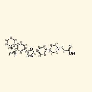 O=C(O)CCN1CCC(c2ccc(-c3nnc(-c4ccc(C5CCCCC5)c(C(F)(F)F)c4)o3)cc2)CC1